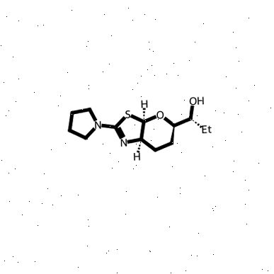 CC[C@@H](O)[C@H]1CC[C@H]2N=C(N3CCCC3)S[C@H]2O1